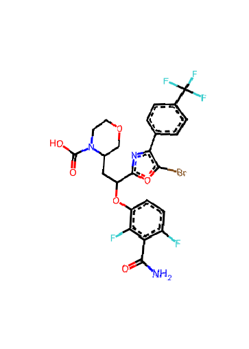 NC(=O)c1c(F)ccc(OC(CC2COCCN2C(=O)O)c2nc(-c3ccc(C(F)(F)F)cc3)c(Br)o2)c1F